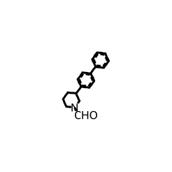 O=CN1CCCC(c2ccc(-c3ccccc3)cc2)C1